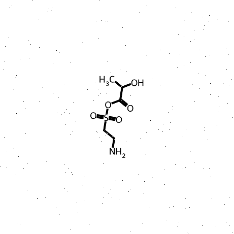 CC(O)C(=O)OS(=O)(=O)CCN